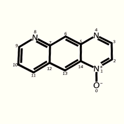 [O-][n+]1ccnc2cc3ncccc3cc21